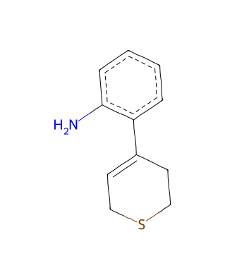 Nc1ccccc1C1=CCSCC1